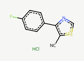 Cl.N#Cc1scnc1-c1ccc(F)cc1